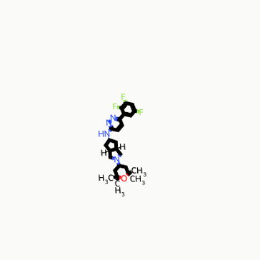 CC1(C)CC(N2C[C@H]3C[C@H](Nc4ccc(-c5cc(F)cc(F)c5F)nn4)C[C@H]3C2)CC(C)(C)O1